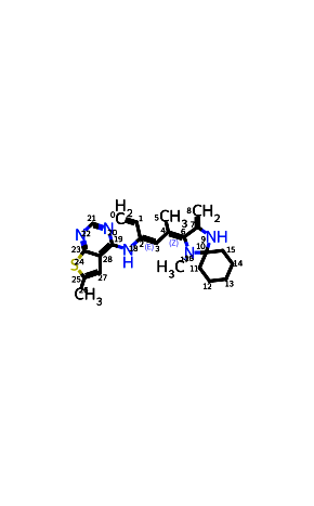 C=C/C(=C\C(C)=C1\C(=C)NC2(CCCCC2)N1C)Nc1ncnc2sc(C)cc12